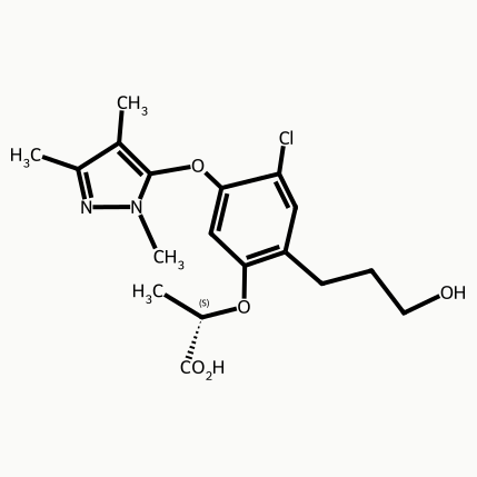 Cc1nn(C)c(Oc2cc(O[C@@H](C)C(=O)O)c(CCCO)cc2Cl)c1C